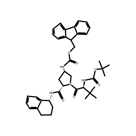 CC(C)(C)OC(=O)N[C@H](C(=O)N1C[C@@H](NC(=O)OCC2c3ccccc3-c3ccccc32)C[C@H]1C(=O)N[C@@H]1CCCc2ccccc21)C(C)(C)C